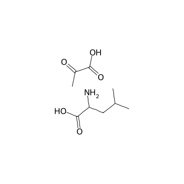 CC(=O)C(=O)O.CC(C)CC(N)C(=O)O